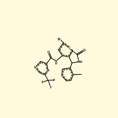 Cc1ccccc1C1NC(=O)c2cc(Br)cc(NC(=O)c3cncc(C(F)(F)F)n3)c21